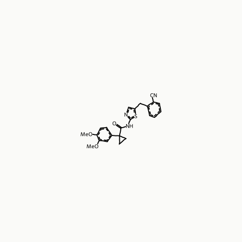 COc1ccc(C2(C(=O)Nc3ncc(Cc4ccccc4C#N)s3)CC2)cc1OC